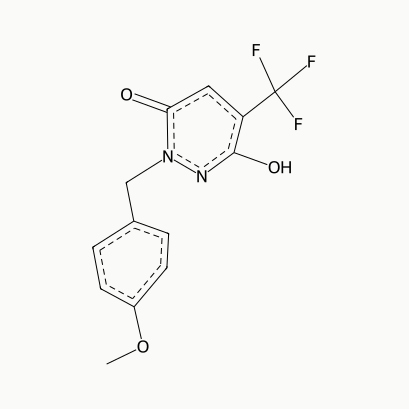 COc1ccc(Cn2nc(O)c(C(F)(F)F)cc2=O)cc1